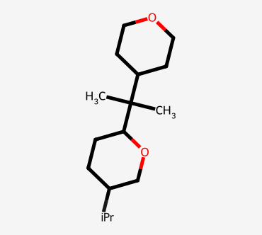 CC(C)C1CCC(C(C)(C)C2CCOCC2)OC1